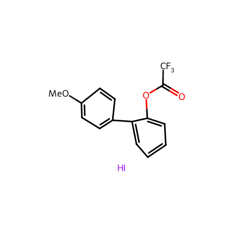 COc1ccc(-c2ccccc2OC(=O)C(F)(F)F)cc1.I